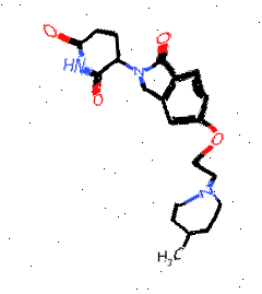 CC1CCN(CCOc2ccc3c(c2)CN(C2CCC(=O)NC2=O)C3=O)CC1